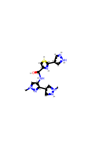 Cn1cc(-c2nn(C)cc2NC(=O)c2csc(-c3cn[nH]c3)n2)cn1